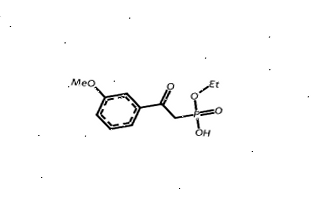 CCOP(=O)(O)CC(=O)c1cccc(OC)c1